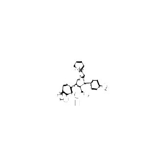 COc1ccc(C2C(C(=O)O)C(c3ccc4c(c3)OCO4)CN2Cc2ccccn2)cc1